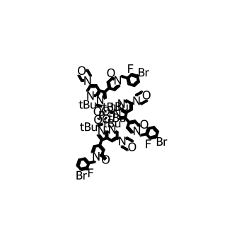 CC(C)(C)C(OP(=O)(OC(n1cc(-c2ccn(Cc3cccc(Br)c3F)c(=O)c2)c2cc(N3CCOCC3)cnc21)(C(C)(C)C)C(C)(C)C)OC(n1cc(-c2ccn(Cc3cccc(Br)c3F)c(=O)c2)c2cc(N3CCOCC3)cnc21)(C(C)(C)C)C(C)(C)C)(n1cc(-c2ccn(Cc3cccc(Br)c3F)c(=O)c2)c2cc(N3CCOCC3)cnc21)C(C)(C)C